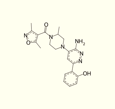 Cc1noc(C)c1C(=O)N1CCN(c2cc(-c3ccccc3O)nnc2N)CC1C